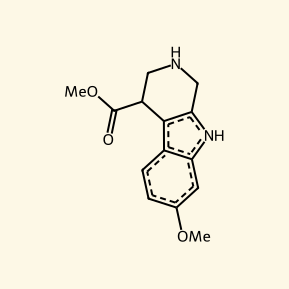 COC(=O)C1CNCc2[nH]c3cc(OC)ccc3c21